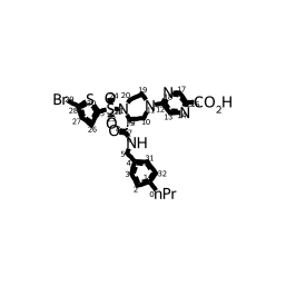 CCCc1ccc(CNC(=O)[C@H]2CN(c3cnc(C(=O)O)cn3)CCN2S(=O)(=O)c2ccc(Br)s2)cc1